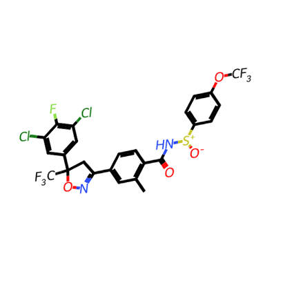 Cc1cc(C2=NOC(c3cc(Cl)c(F)c(Cl)c3)(C(F)(F)F)C2)ccc1C(=O)N[S+]([O-])c1ccc(OC(F)(F)F)cc1